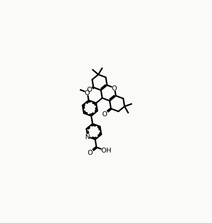 COc1ccc(-c2ccc(C(=O)O)nc2)cc1C1C2=C(CC(C)(C)CC2=O)OC2=C1C(=O)CC(C)(C)C2